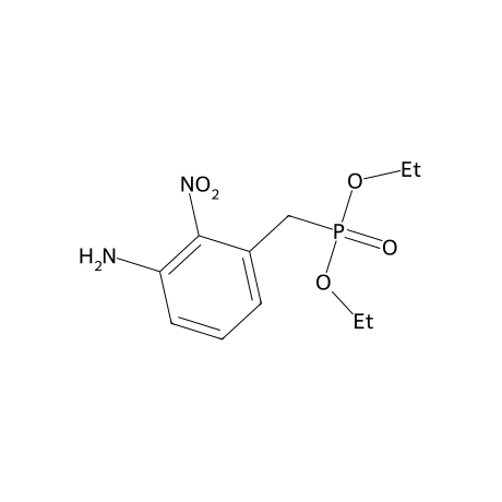 CCOP(=O)(Cc1cccc(N)c1[N+](=O)[O-])OCC